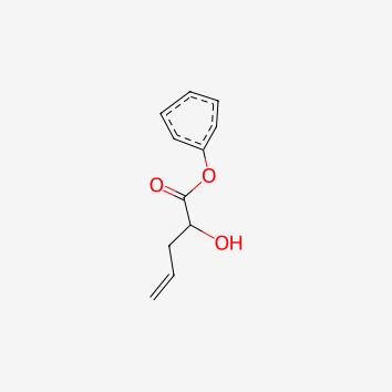 C=CCC(O)C(=O)Oc1ccccc1